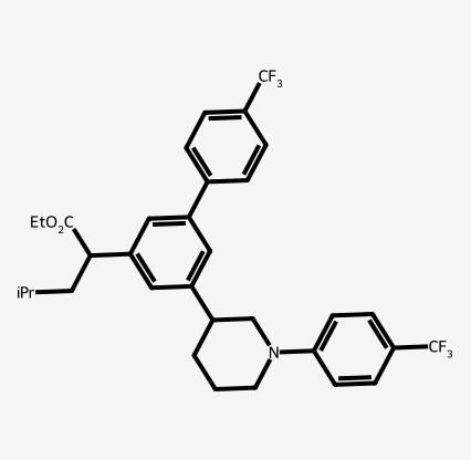 CCOC(=O)C(CC(C)C)c1cc(-c2ccc(C(F)(F)F)cc2)cc(C2CCCN(c3ccc(C(F)(F)F)cc3)C2)c1